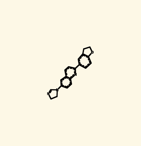 C1=NCCN1c1ccc2nc(-c3ccc4c(c3)CCO4)ccc2c1